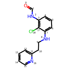 O=CNc1cccc(NCCc2ccccn2)c1Cl